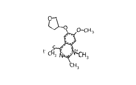 COc1cc2c(cc1OC1CCOC1)c(SC)nc(C)[n+]2C.[I-]